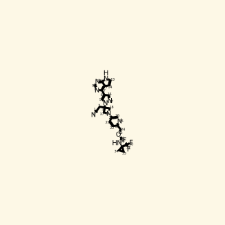 N#CCC1(n2cc(-c3ncnc4[nH]ccc34)cn2)CN(c2ccc(COCNC3(C(F)(F)F)CC3)nc2)C1